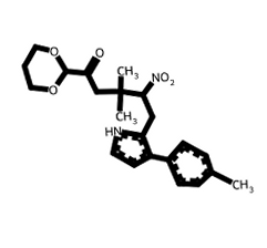 Cc1ccc(-c2cc[nH]c2CC([N+](=O)[O-])C(C)(C)CC(=O)C2OCCCO2)cc1